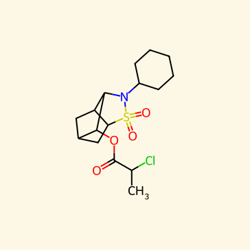 CC(Cl)C(=O)OC1C2CC3C1N(C1CCCCC1)S(=O)(=O)C3C2